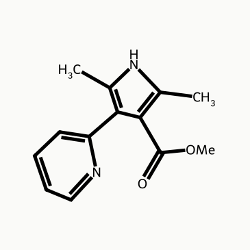 COC(=O)c1c(C)[nH]c(C)c1-c1ccccn1